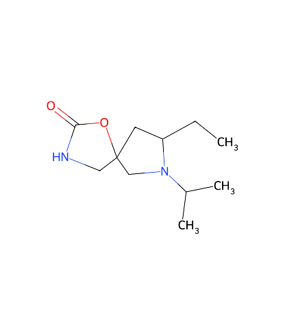 CCC1CC2(CNC(=O)O2)CN1C(C)C